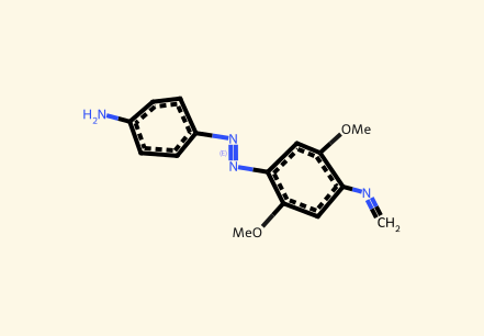 C=Nc1cc(OC)c(/N=N/c2ccc(N)cc2)cc1OC